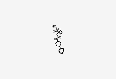 O=C(CC1(C(=O)NO)CCC1)NC1CCC(c2ccccc2)CC1